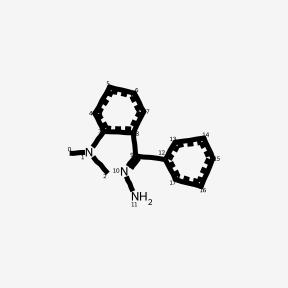 CN(C)c1ccccc1C(=NN)c1ccccc1